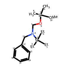 CC[Si](CC)(CC)N(CO[Si](C)(C)OC)Cc1ccccc1